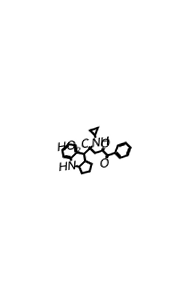 O=C(CC(NC1CC1)(C(=O)O)C1c2ccccc2NC2CCCC21)C(=O)c1ccccc1